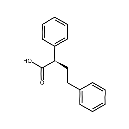 O=C(O)[C@H](CCc1ccccc1)c1ccccc1